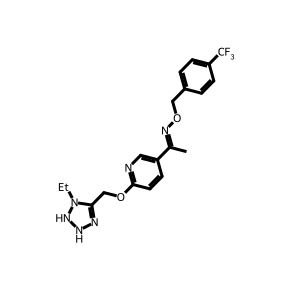 CCN1NNN=C1COc1ccc(C(C)=NOCc2ccc(C(F)(F)F)cc2)cn1